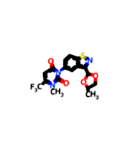 CC1COC(c2nsc3ccc(-n4c(=O)cc(C(F)(F)F)n(C)c4=O)cc23)O1